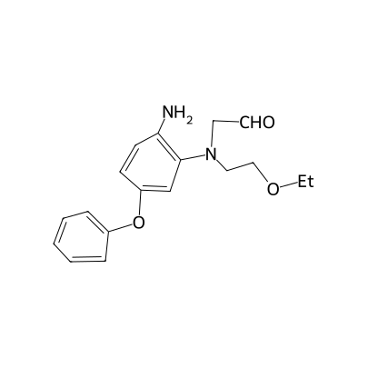 CCOCCN(CC=O)c1cc(Oc2ccccc2)ccc1N